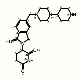 O=C1CCC(N2Cc3cc(CN4CCN(C5CCNCC5)CC4)ccc3C2=O)C(=O)N1